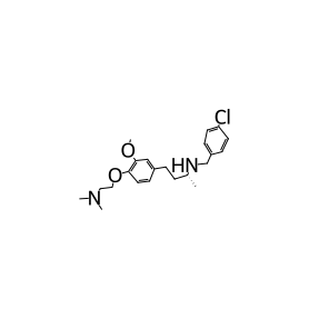 COc1cc(CC[C@@H](C)NCc2ccc(Cl)cc2)ccc1OCCN(C)C